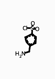 NCc1ccc(S(=O)(=O)Cl)cc1